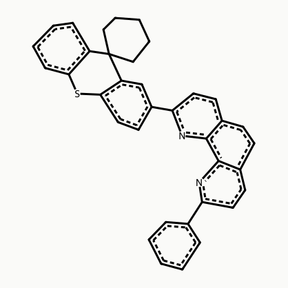 c1ccc(-c2ccc3ccc4ccc(-c5ccc6c(c5)C5(CCCCC5)c5ccccc5S6)nc4c3n2)cc1